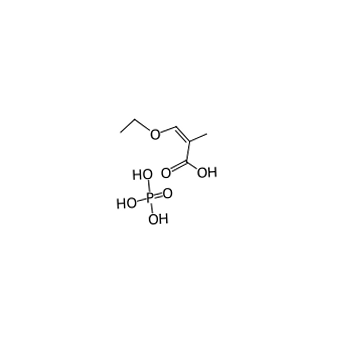 CCOC=C(C)C(=O)O.O=P(O)(O)O